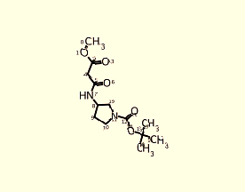 COC(=O)CC(=O)NC1CCN(C(=O)OC(C)(C)C)C1